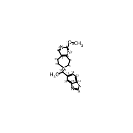 COc1ncc2c(n1)CCN(C(C)c1ccc3scnc3c1)CC2